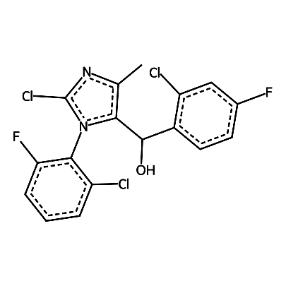 Cc1nc(Cl)n(-c2c(F)cccc2Cl)c1C(O)c1ccc(F)cc1Cl